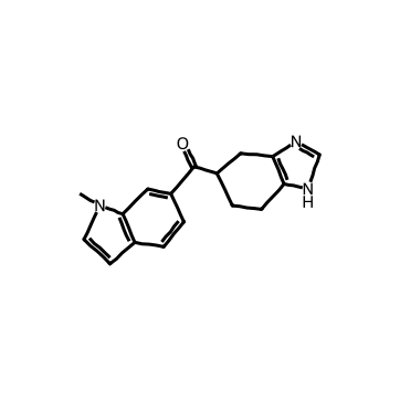 Cn1ccc2ccc(C(=O)C3CCc4[nH]cnc4C3)cc21